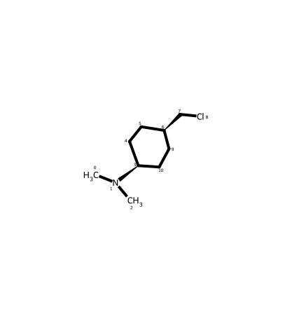 CN(C)[C@H]1CC[C@@H](CCl)CC1